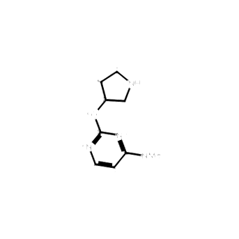 CNc1ccnc(OC2CCNC2)n1